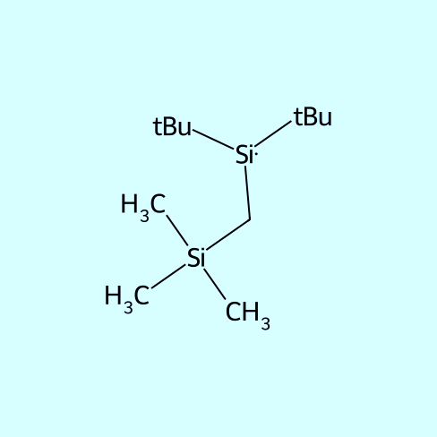 CC(C)(C)[Si](C[Si](C)(C)C)C(C)(C)C